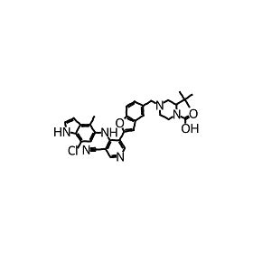 Cc1c(Nc2c(C#N)cncc2-c2cc3cc(CN4CCN(C(=O)O)C(C(C)(C)C)C4)ccc3o2)cc(Cl)c2[nH]ccc12